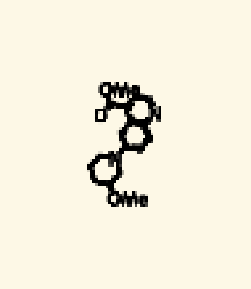 COC(=O)c1ccnc2ccc(N3CCCC(OC)C3)cc12